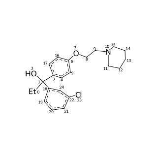 CCC(O)(c1ccc(OCCN2CCCCC2)cc1)c1cccc(Cl)c1